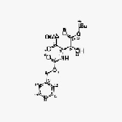 COC(=O)[C@@H](NC(=O)OCc1ccccc1)C(O)C(=O)OC(C)(C)C